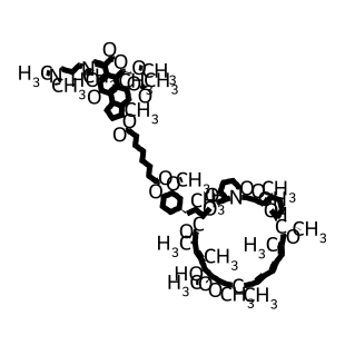 COC[C@H]1OC(=O)/C(=C/N(C)CCCN(C)C)C2=C(O)C(=O)C3=C([C@H](OC(C)=O)C[C@@]4(C)C3CC[C@@H]4OC(=O)CCCCCCC(=O)O[C@@H]3CC[C@@H](C[C@@H](C)[C@@H]4CC(=O)[C@H](C)/C=C(\C)[C@@H](O)[C@@H](OC)C(=O)[C@H](C)C[C@H](C)/C=C/C=C/C=C(\C)[C@@H](OC)C[C@@H]5CC[C@@H](C)[C@@](O)(O5)C(=O)C(=O)N5CCCC[C@H]5C(=O)O4)C[C@H]3OC)[C@]21C